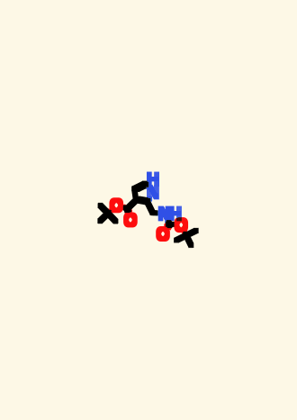 CC(C)(C)OC(=O)NCc1[nH]ccc1C(=O)OC(C)(C)C